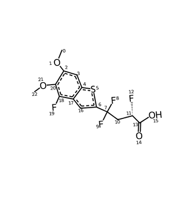 COc1cc2sc(C(F)(F)C[C@H](F)C(=O)O)cc2c(F)c1OC